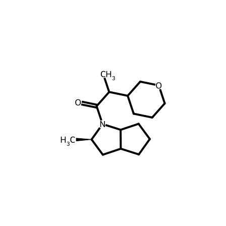 CC(C(=O)N1C2CCCC2C[C@H]1C)C1CCCOC1